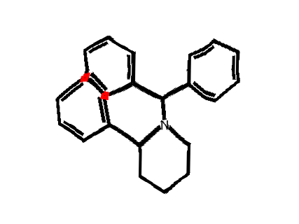 c1ccc(C2CCCCN2C(c2ccccc2)c2ccccc2)cc1